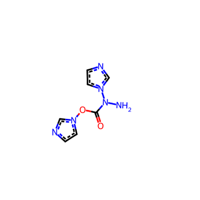 NN(C(=O)On1ccnc1)n1ccnc1